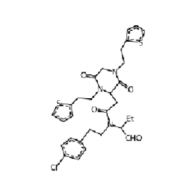 CCC(C=O)N(CCc1ccc(Cl)cc1)C(=O)CC1C(=O)N(CCc2cccs2)CC(=O)N1CCc1cccs1